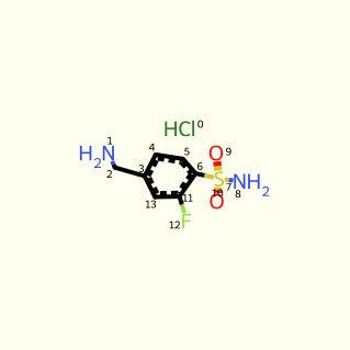 Cl.NCc1ccc(S(N)(=O)=O)c(F)c1